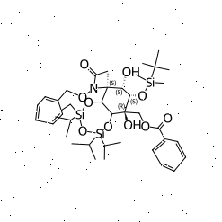 CC[Si]1(C(C)C)OC2C(O[Si](C(C)C)(C(C)C)O1)[C@@](O)(COC(=O)c1ccccc1)[C@@H](O[Si](C)(C)C(C)(C)C)[C@@H](O)[C@@]21CC(=O)N1OCc1ccccc1